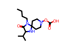 CCCCN1C(=O)C(C(C)C)NC12CCN(OC(=O)O)CC2